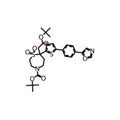 CC(C)(C)OC(=O)CC1(c2ccc(-c3ccc(-c4cnco4)cc3)s2)CCN(C(=O)OC(C)(C)C)CCS1(=O)=O